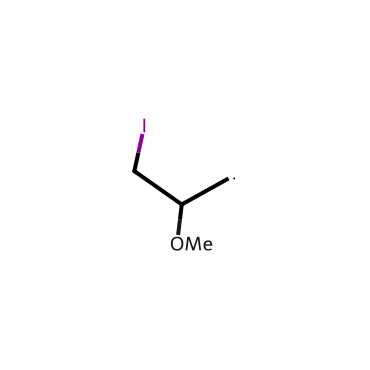 [CH2]C(CI)OC